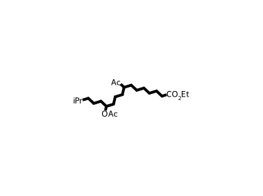 CCOC(=O)CCCCCCC(CCCC(CCCC(C)C)OC(C)=O)C(C)=O